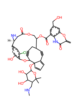 C=C1Oc2cc(CO)cc(C(=O)OC3COC(=O)C[C@H](N)c4cc(O)c(c(Cl)c4)OC4C#CCC3C#CC3=CC=CC34OC3OC(C)(C)C(CNC)C(O)C3O)c2NC1=O